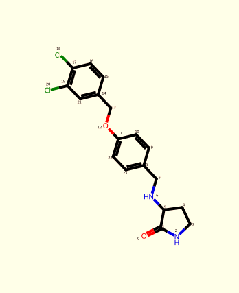 O=C1NCCC1NCc1ccc(OCc2ccc(Cl)c(Cl)c2)cc1